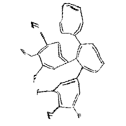 Fc1cc(-c2cccc(-c3ccccc3)c2-c2cc(F)c(F)c(F)c2)cc(F)c1F